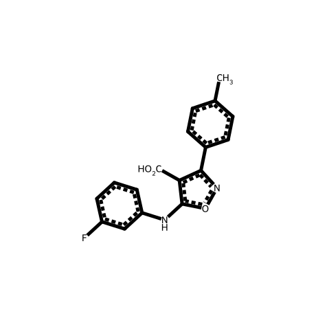 Cc1ccc(-c2noc(Nc3cccc(F)c3)c2C(=O)O)cc1